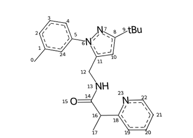 Cc1cccc(-n2nc(C(C)(C)C)cc2CNC(=O)C(C)c2ccccn2)c1